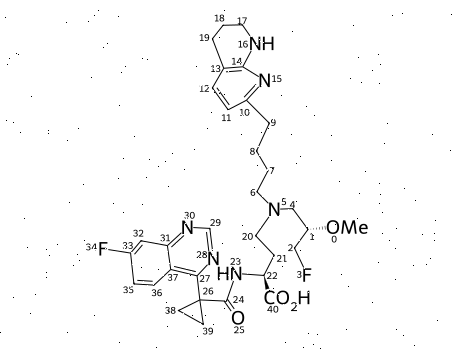 CO[C@H](CF)CN(CCCCc1ccc2c(n1)NCCC2)CC[C@H](NC(=O)C1(c2ncnc3cc(F)ccc23)CC1)C(=O)O